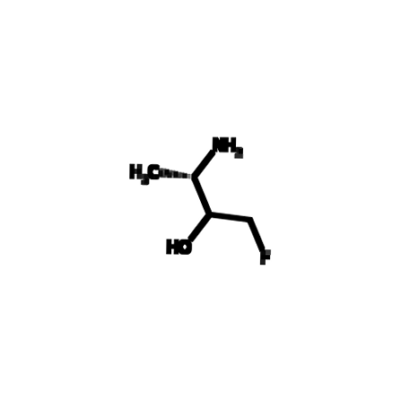 C[C@H](N)C(O)CF